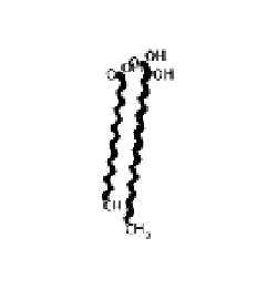 CCCCCCCCCC=CC=CC=CC=CC=C(O)C(=O)O.CCCCCCCCCCCCCCCC(=O)O